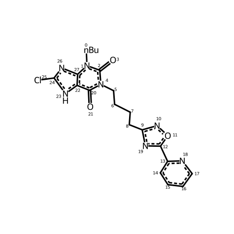 CCCCn1c(=O)n(CCCCc2noc(-c3ccccn3)n2)c(=O)c2[nH]c(Cl)nc21